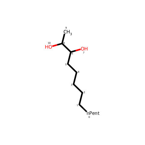 CCCCCCCCCCC(O)C(C)O